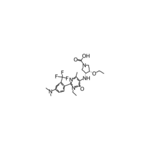 CCO[C@H]1CN(C(=O)O)C[C@H]1Nc1c(C)nc(-c2ccc(N(C)C)cc2C(F)(F)F)n(CC)c1=O